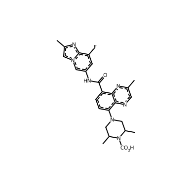 Cc1cnc2c(N3CC(C)N(C(=O)O)C(C)C3)ccc(C(=O)Nc3cc(F)c4nc(C)cn4c3)c2n1